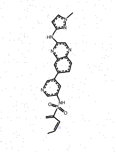 C=C(/C=C\C)S(=O)(=O)Nc1cncc(-c2ccc3ncc(Nc4ccn(C)n4)nc3c2)c1